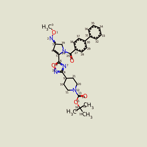 CON=C1C=C(c2nc(C3CCN(C(=O)OC(C)(C)C)CC3)no2)N(C(=O)c2ccc(-c3ccccc3)cc2)C1